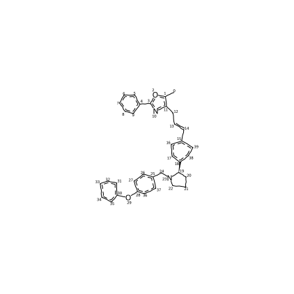 Cc1oc(-c2ccccc2)nc1C/C=C/c1ccc([C@H]2CCCN2Cc2ccc(Oc3ccccc3)cc2)cc1